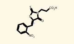 O=C(O)CCN1C(=O)/C(=C/c2ccccc2[N+](=O)[O-])SC1=S